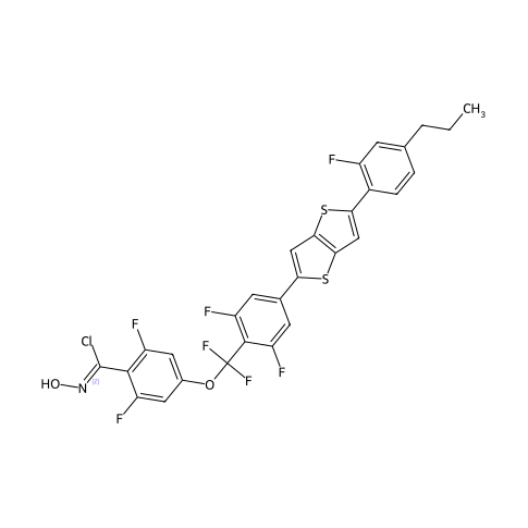 CCCc1ccc(-c2cc3sc(-c4cc(F)c(C(F)(F)Oc5cc(F)c(/C(Cl)=N/O)c(F)c5)c(F)c4)cc3s2)c(F)c1